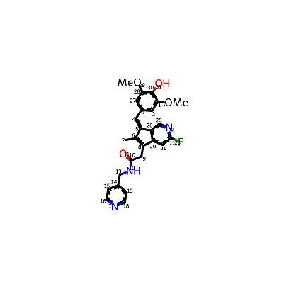 COc1cc(/C=C2/C(C)=C(CC(=O)NCc3ccncc3)c3cc(F)ncc32)cc(OC)c1O